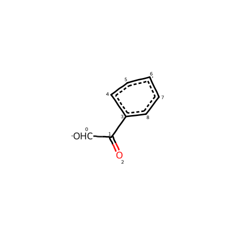 O=[C]C(=O)c1cc[c]cc1